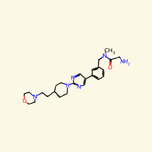 CN(Cc1cccc(-c2cnc(N3CCC(CCN4CCOCC4)CC3)nc2)c1)C(=O)CN